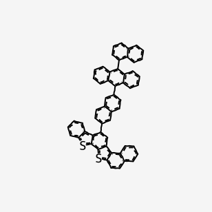 c1ccc2c(-c3c4ccccc4c(-c4ccc5cc(-c6cc7c(sc8ccc9ccccc9c87)c7sc8ccccc8c67)ccc5c4)c4ccccc34)cccc2c1